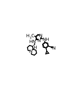 Cc1cnc(Nc2ccc(C3CC3)c(C#N)c2)nc1NC[C@@H]1CCCN2CCCC[C@H]12